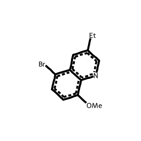 CCc1cnc2c(OC)ccc(Br)c2c1